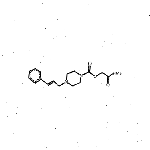 CNC(=O)COC(=O)N1CCN(C/C=C/c2ccccc2)CC1